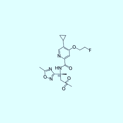 Cc1nc([C@@](C)(CS(C)(=O)=O)NC(=O)c2cc(OCCF)c(C3CC3)cn2)no1